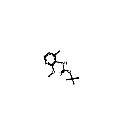 COc1nccc(C)c1NC(=O)OC(C)(C)C